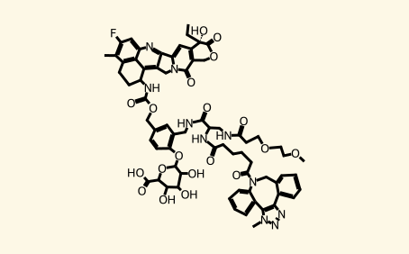 CC[C@@]1(O)C(=O)OCc2c1cc1n(c2=O)Cc2c-1nc1cc(F)c(C)c3c1c2C(NC(=O)OCc1ccc(OC2OC(C(=O)O)C(O)C(O)C2O)c(CNC(=O)C(CNC(=O)CCOCCOC)NC(=O)CCCCC(=O)N2Cc4ccccc4-c4nnn(C)c4-c4ccccc42)c1)CC3